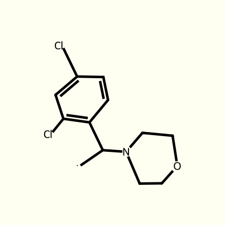 [CH2]C(c1ccc(Cl)cc1Cl)N1CCOCC1